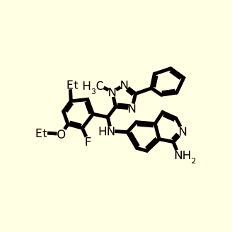 CCOc1cc(CC)cc(C(Nc2ccc3c(N)nccc3c2)c2nc(-c3ccccc3)nn2C)c1F